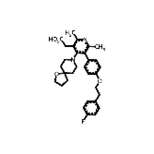 Cc1nc(C)c(-c2ccc(OCCc3ccc(F)cc3)cc2)c(N2CCC3(CCCO3)CC2)c1CC(=O)O